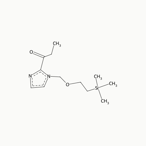 CCC(=O)c1nccn1COCC[Si](C)(C)C